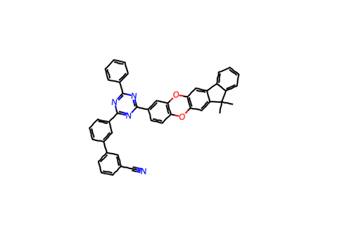 CC1(C)c2ccccc2-c2cc3c(cc21)Oc1ccc(-c2nc(-c4ccccc4)nc(-c4cccc(-c5cccc(C#N)c5)c4)n2)cc1O3